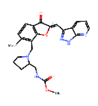 COc1ccc2c(c1CN1CCCC1CNC(=O)OC(C)(C)C)O/C(=C\c1n[nH]c3ncccc13)C2=O